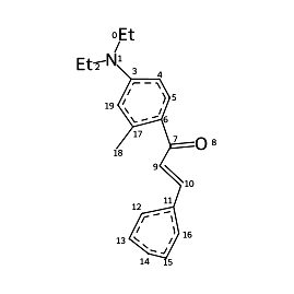 CCN(CC)c1ccc(C(=O)C=Cc2ccccc2)c(C)c1